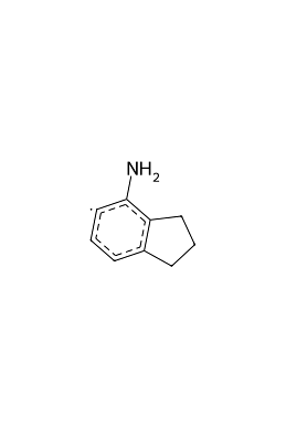 Nc1[c]ccc2c1CCC2